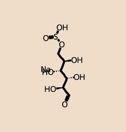 O=C[C@@H](O)[C@@H](O)[C@H](O)[C@H](O)COS(=O)O.[Na]